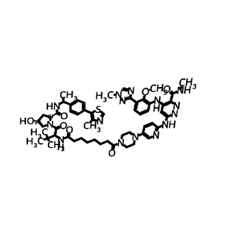 CNC(=O)c1nnc(Nc2ccc(N3CCN(C(=O)CCCCCCC(=O)NC(C(=O)N4C[C@H](O)C[C@H]4C(=O)NC(C)c4ccc(-c5scnc5C)cc4)C(C)(C)C)CC3)cn2)cc1Nc1cccc(-c2ncn(C)n2)c1OC